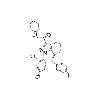 O=C(NN1CCCCC1)c1nn(-c2ccc(Cl)cc2Cl)c2c1CCCCC2=Cc1ccc(F)cc1